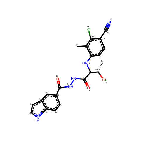 Cc1c(NC(C(=O)NNC(=O)c2ccc3[nH]ccc3c2)[C@H](C)O)ccc(C#N)c1Cl